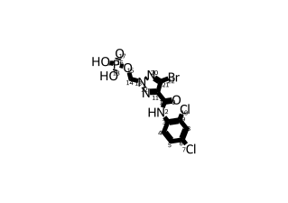 O=C(Nc1ccc(Cl)cc1Cl)c1nn(COP(=O)(O)O)nc1Br